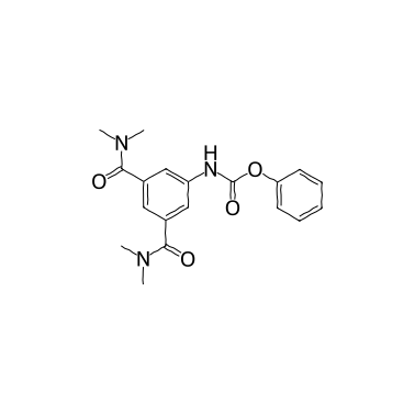 CN(C)C(=O)c1cc(NC(=O)Oc2ccccc2)cc(C(=O)N(C)C)c1